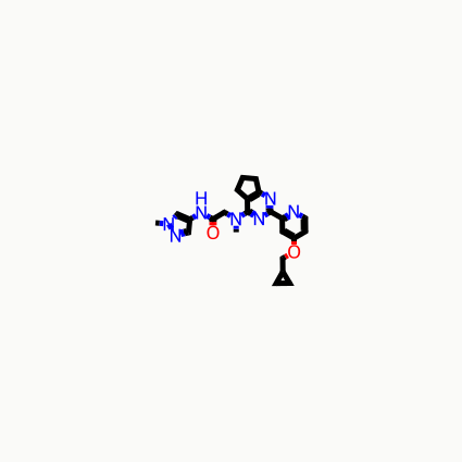 CN(CC(=O)Nc1cnn(C)c1)c1nc(-c2cc(OCC3CC3)ccn2)nc2c1CCC2